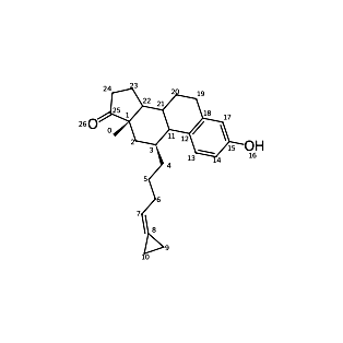 C[C@]12C[C@H](CCCC=C3CC3)C3c4ccc(O)cc4CCC3C1CCC2=O